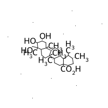 C[C@@H]1CCC2(C(=O)O)CC[C@]3(C)C(=CCC4[C@@]5(C)C[C@@H](O)[C@H](O)[C@@](C)(CO)C5CC[C@]43C)C2[C@H]1C